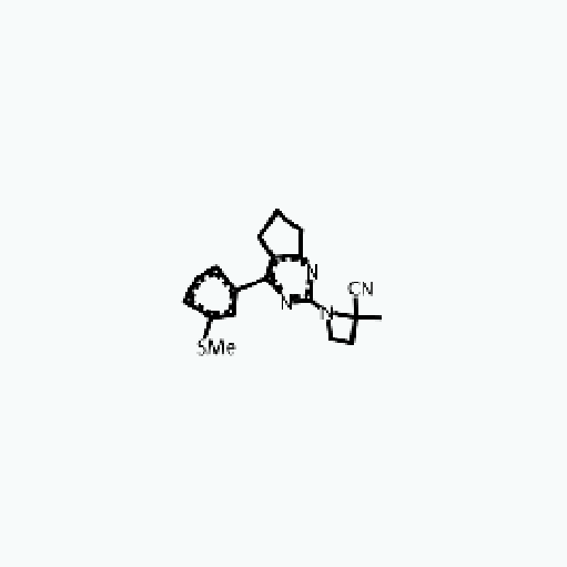 CSc1cccc(-c2nc(N3CCC3(C)C#N)nc3c2CCC3)c1